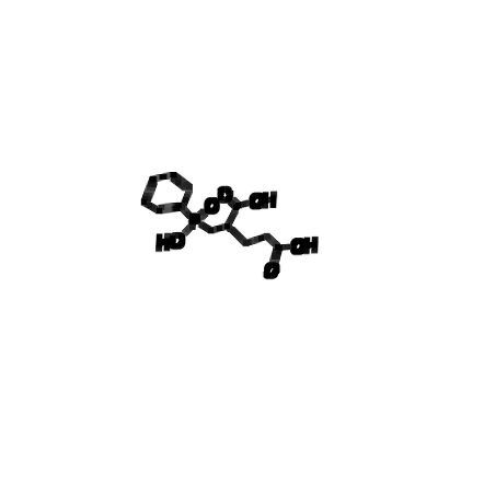 O=C(O)CCC(CP(=O)(O)c1ccccc1)C(=O)O